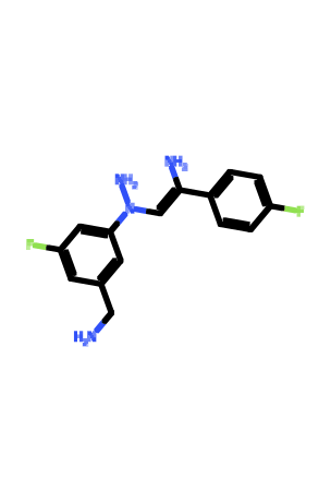 NCc1cc(F)cc(N(N)/C=C(\N)c2ccc(F)cc2)c1